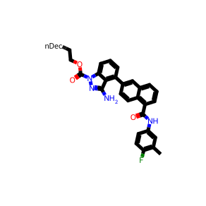 CCCCCCCCCCCCOC(=O)n1nc(N)c2c(-c3ccc4c(C(=O)Nc5ccc(F)c(C)c5)cccc4c3)cccc21